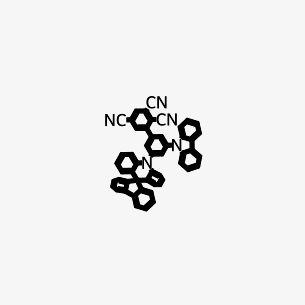 N#Cc1cc(C#N)c(C#N)c(-c2cc(N3c4ccccc4C4(c5ccccc5-c5ccccc54)c4ccccc43)cc(-n3c4ccccc4c4ccccc43)c2)c1